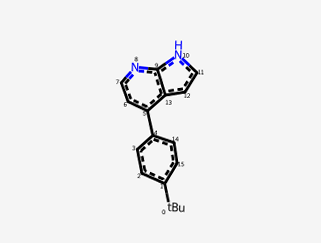 CC(C)(C)c1ccc(-c2ccnc3[nH]ccc23)cc1